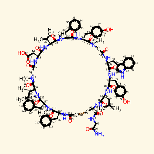 CC[C@H](C)[C@H]1C(=O)N(C)CC(=O)N[C@@H](CC(=O)O)C(=O)N[C@@H](C(C)C)C(=O)N(C)[C@@H](Cc2ccccc2)C(=O)N[C@@H](Cc2ccc(O)cc2)C(=O)N(C)CC(=O)N[C@@H](Cc2c[nH]c3ccccc23)C(=O)N[C@@H](Cc2ccc(O)cc2)C(=O)N[C@@H](CC(C)C)C(=O)N[C@H](C(=O)NCC(N)=O)CSCC(=O)N[C@@H](Cc2ccccc2)C(=O)N(C)[C@@H](Cc2ccccc2)C(=O)N1C